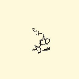 CCOC(=O)Cn1cc(-c2nc(Cl)ncc2C#N)c2ccccc21